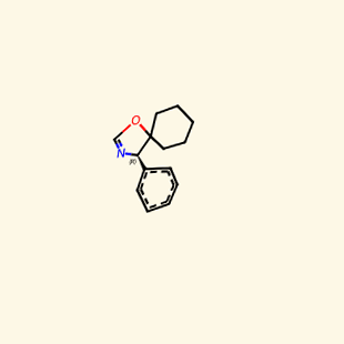 C1=N[C@H](c2ccccc2)C2(CCCCC2)O1